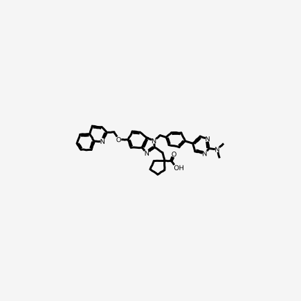 CN(C)c1ncc(-c2ccc(Cn3c(CC4(C(=O)O)CCCC4)nc4cc(OCc5ccc6ccccc6n5)ccc43)cc2)cn1